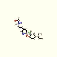 CCC(CC)c1ccc(Oc2ccc(/C=C/[C@H](C)NC(C)=O)cn2)c(Cl)c1